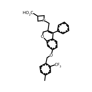 Cc1ccc(COc2ccc3c(c2)OCC(CN2CC(C(=O)O)C2)=C3c2ccccc2)c(C(F)(F)F)c1